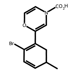 CC1C=CC(Br)=C(C2=CN(C(=O)O)C=CO2)C1